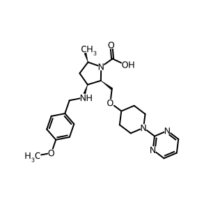 COc1ccc(CN[C@H]2C[C@@H](C)N(C(=O)O)[C@H]2COC2CCN(c3ncccn3)CC2)cc1